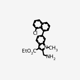 CCOC(=O)c1c(CN)n(C)c2cc(-c3cccc4cccc(Cl)c34)ccc12